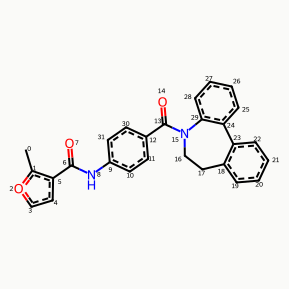 Cc1occc1C(=O)Nc1ccc(C(=O)N2CCc3ccccc3-c3ccccc32)cc1